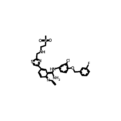 C=C/N=C1/C=CC(c2csc(CNCCS(C)(=O)=O)n2)=C/C1=C(/N)Nc1ccc(OCc2cccc(F)c2)c(Cl)c1